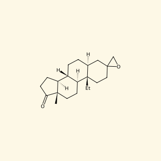 CC[C@]12CCC3(CO3)C[C@@H]1CC[C@@H]1[C@@H]2CC[C@]2(C)C(=O)CC[C@@H]12